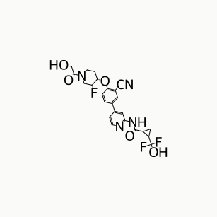 N#Cc1cc(-c2ccnc(NC(=O)C3CC3C(O)(F)F)c2)ccc1O[C@H]1CCN(C(=O)CO)C[C@H]1F